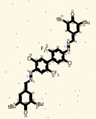 CC(C)(C)C1=CC(=C/N=N/c2cc(C(F)(F)F)c(-c3cc(Cl)c(/N=N/C=C4C=C(C(C)(C)C)C(=O)C(C(C)(C)C)=C4)cc3C(F)(F)F)cc2Cl)C=C(C(C)(C)C)C1=O